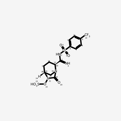 N=C(NS(=O)(=O)c1ccc(C(F)(F)F)cc1)[C@@H]1CC[C@@H]2CN1C(=O)N2OS(=O)(=O)O